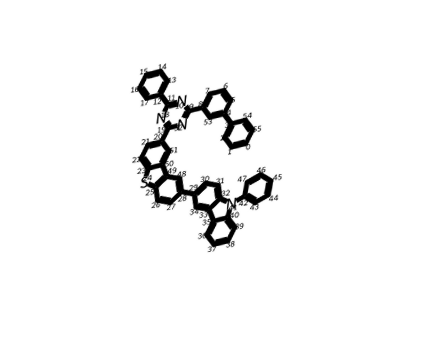 c1ccc(-c2cccc(-c3nc(-c4ccccc4)nc(-c4ccc5sc6ccc(-c7ccc8c(c7)c7ccccc7n8-c7ccccc7)cc6c5c4)n3)c2)cc1